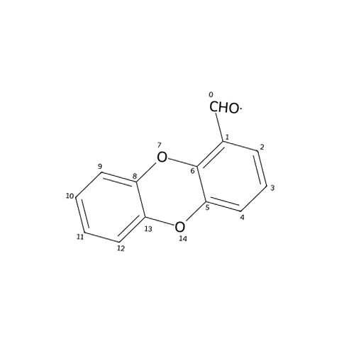 O=[C]c1cccc2c1Oc1ccccc1O2